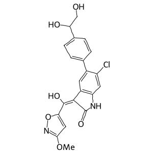 COc1cc(C(O)=C2C(=O)Nc3cc(Cl)c(-c4ccc(C(O)CO)cc4)cc32)on1